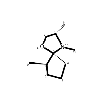 C[C@@H]1CCC[C@@]12OC[C@H](C)N2C